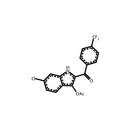 CC(=O)Oc1c(C(=O)c2ccc(C(F)(F)F)cc2)[nH]c2cc(Cl)ccc12